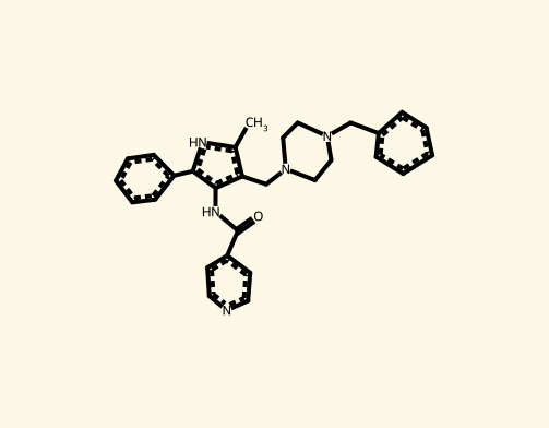 Cc1[nH]c(-c2ccccc2)c(NC(=O)c2ccncc2)c1CN1CCN(Cc2ccccc2)CC1